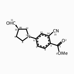 COC(=O)c1ccc(N2CC[C@@H](C=O)C2)cc1C#N